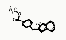 COC(=O)c1ccc(Cc2cc3ccccc3[nH]2)cc1